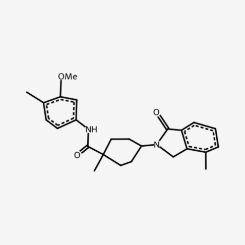 COc1cc(NC(=O)C2(C)CCC(N3Cc4c(C)cccc4C3=O)CC2)ccc1C